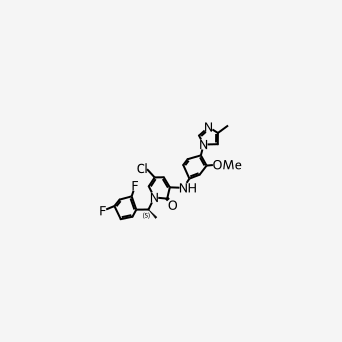 COc1cc(Nc2cc(Cl)cn([C@@H](C)c3ccc(F)cc3F)c2=O)ccc1-n1cnc(C)c1